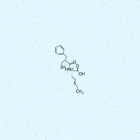 CCSCC[C@H](NC(=O)C(CS)Cc1ccccc1)C(=O)O